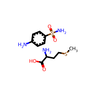 CSCCC(N)C(=O)O.Nc1ccc(S(N)(=O)=O)cc1